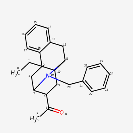 CCC12CC3C(C(C)=O)CC1C(Cc1ccccc12)N3Cc1ccccc1